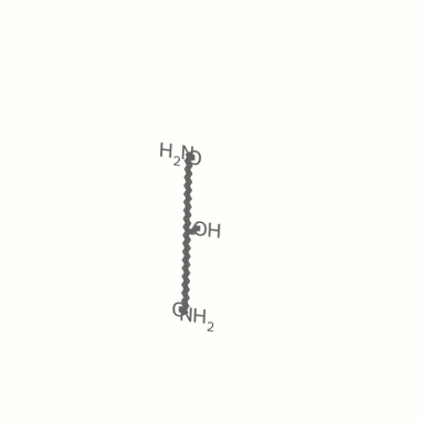 NC(=O)CCCCCCCCCCCCCCCCCCC(CCO)CCCCCCCCCCCCCCCCCC(N)=O